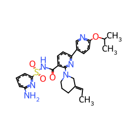 C/C=C1\CCCN(c2nc(-c3ccc(OC(C)C)nc3)ccc2C(=O)NS(=O)(=O)c2cccc(N)n2)C1